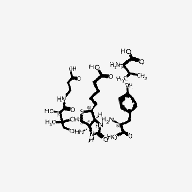 CC(C)(CO)[C@@H](O)C(=O)NCCC(=O)O.CC(C)[C@H](N)C(=O)O.N[C@@H](Cc1ccc(O)cc1)C(=O)O.O=C(O)CCCC[C@@H]1SC[C@@H]2NC(=O)N[C@@H]21